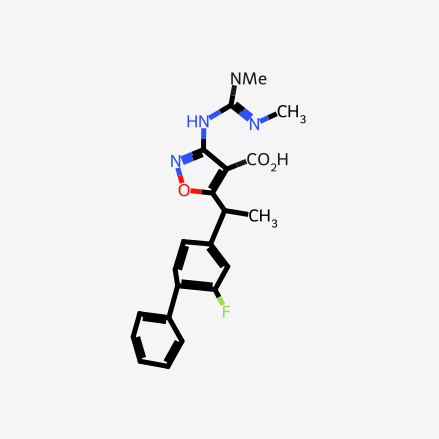 CN=C(NC)Nc1noc(C(C)c2ccc(-c3ccccc3)c(F)c2)c1C(=O)O